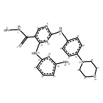 CCCNC(=O)c1cnc(Nc2ccc(N3CCOCC3)cc2)nc1Nc1cccc(N)n1